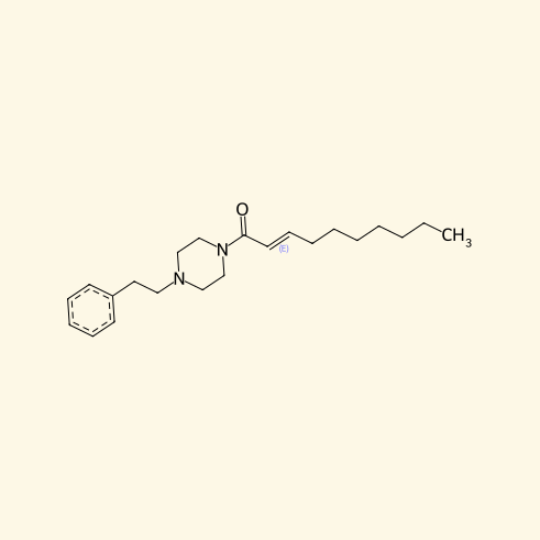 CCCCCCC/C=C/C(=O)N1CCN(CCc2ccccc2)CC1